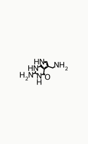 NCc1c[nH]c2c1C(=O)NC(N)N2